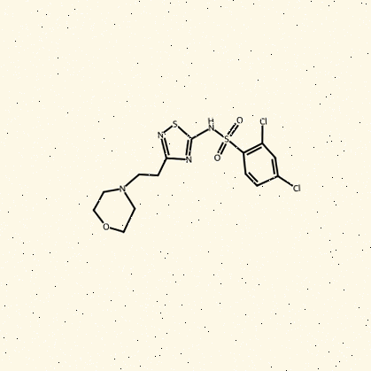 O=S(=O)(Nc1nc(CCN2CCOCC2)ns1)c1ccc(Cl)cc1Cl